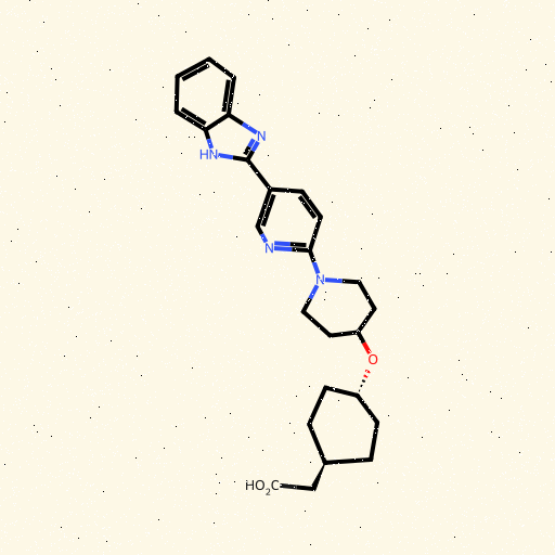 O=C(O)C[C@H]1CC[C@H](OC2CCN(c3ccc(-c4nc5ccccc5[nH]4)cn3)CC2)CC1